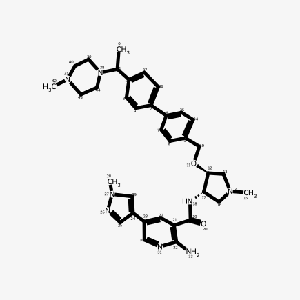 CC(c1ccc(-c2ccc(CO[C@H]3CN(C)C[C@@H]3NC(=O)c3cc(-c4cnn(C)c4)cnc3N)cc2)cc1)N1CCN(C)CC1